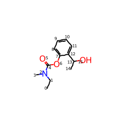 CCN(C)C(=O)Oc1ccccc1C(C)O